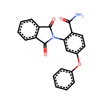 NC(=O)c1ccc(Oc2ccccc2)cc1N1C(=O)c2ccccc2C1=O